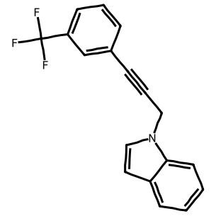 FC(F)(F)c1cccc(C#CCn2ccc3ccccc32)c1